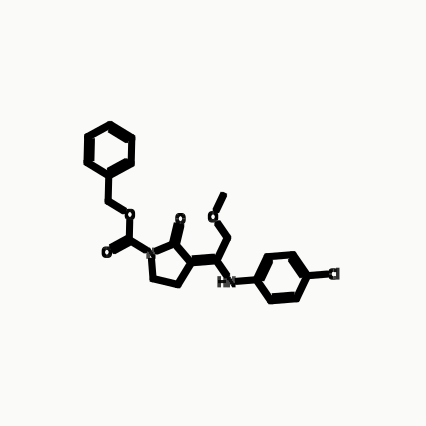 COCC(Nc1ccc(Cl)cc1)=C1CCN(C(=O)OCc2ccccc2)C1=O